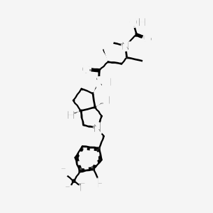 CC(C[C@H](C)C(=O)N[C@@H]1CC[C@H]2CN(Cc3ccc(C(F)(F)F)c(F)c3)C[C@H]21)N(C)C(=O)O